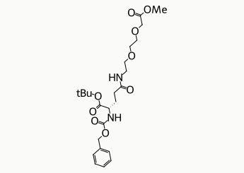 COC(=O)COCCOCCNC(=O)CC[C@H](NC(=O)OCc1ccccc1)C(=O)OC(C)(C)C